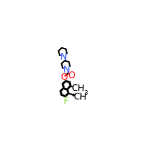 C#Cc1c(F)ccc2cc(OC(=O)N3CCC(N4CCCCC4)CC3)cc(C)c12